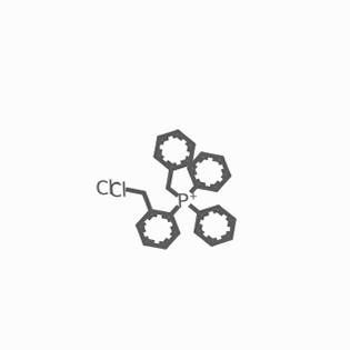 ClCc1ccccc1[P+](Cc1ccccc1)(c1ccccc1)c1ccccc1.[Cl-]